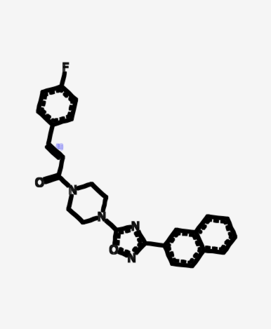 O=C(/C=C/c1ccc(F)cc1)N1CCN(c2nc(-c3ccc4ccccc4c3)no2)CC1